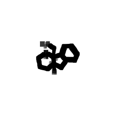 CC[C@]12NCCC[C@H]1Cc1ccccc12